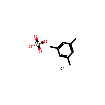 Cc1cc(C)cc(C)c1.[K+].[O]=[Mn](=[O])(=[O])[O-]